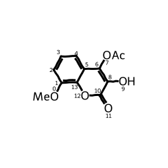 COc1cccc2c(OC(C)=O)c(O)c(=O)oc12